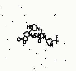 Cc1c([C@@H]2CN(Cc3cn(-c4ccnc(C(F)F)c4)c(=O)n3C)CCN2)ccc2c1COC2=O